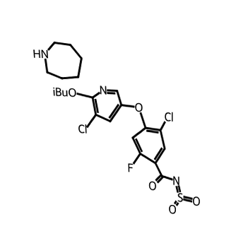 C1CCCNCC1.CC(C)COc1ncc(Oc2cc(F)c(C(=O)N=S(=O)=O)cc2Cl)cc1Cl